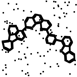 c1cc(-c2ccc3ccc4ccc(-c5ccc6c7c(cccc57)-c5ccccc5-6)nc4c3n2)cc(-c2cccc3c2oc2ccccc23)c1